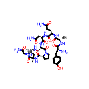 CC[C@H](C)[C@H](NC(=O)[C@@H](N)Cc1ccc(O)cc1)C(=O)N[C@@H](CCC(N)=O)C(=O)N[C@@H](CC(N)=O)C(=O)N[C@@H](CNC=O)C(=O)N1CCC[C@H]1C(=O)N[C@@](C)(CC(C)C)C(=O)NCC(N)=O